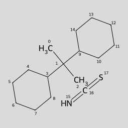 CC(C)(C1CCCCC1)C1CCCCC1.N=C=S